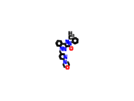 Cc1ccccc1-n1nc2c3ccccc3n(Cc3ccc(N4CCOCC4)nc3)nc-2c1=O